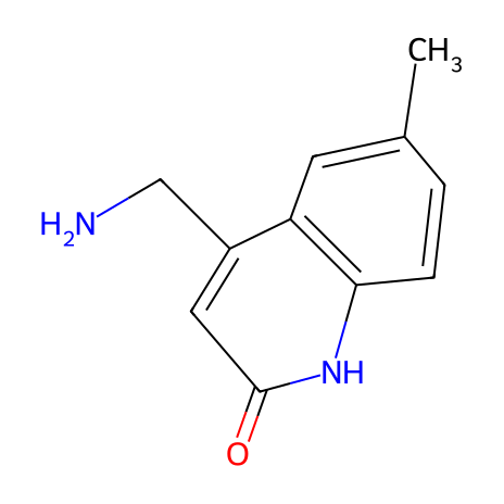 Cc1ccc2[nH]c(=O)cc(CN)c2c1